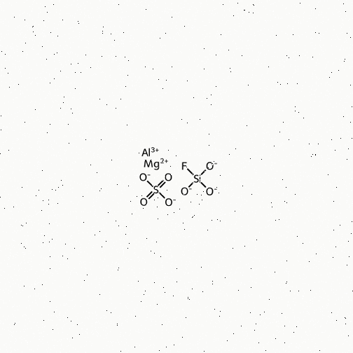 O=S(=O)([O-])[O-].[Al+3].[Mg+2].[O-][Si]([O-])([O-])F